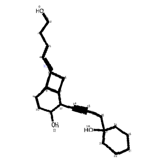 OCCC/C=C1\CC2C1CCC(O)C2C#CCC1(O)CCCCC1